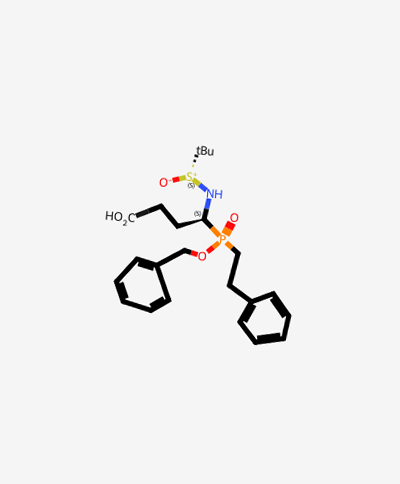 CC(C)(C)[S@@+]([O-])N[C@H](CCC(=O)O)P(=O)(CCc1ccccc1)OCc1ccccc1